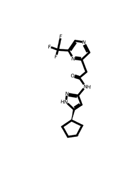 O=C(Cc1cncc(C(F)(F)F)n1)Nc1cc([C@H]2C[CH]CC2)[nH]n1